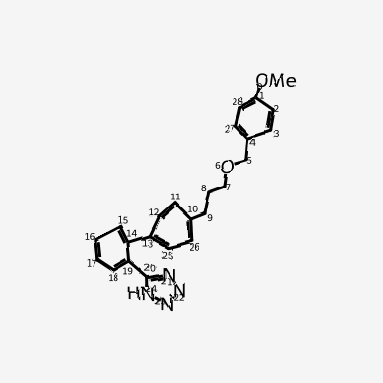 COc1ccc(COCCCc2ccc(-c3ccccc3-c3nnn[nH]3)cc2)cc1